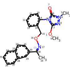 COc1nn(C)c(=O)n1-c1ccccc1CO/N=C(/C)c1ccc2ccccc2c1